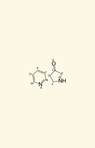 O=C1CCNC1.c1ccncc1